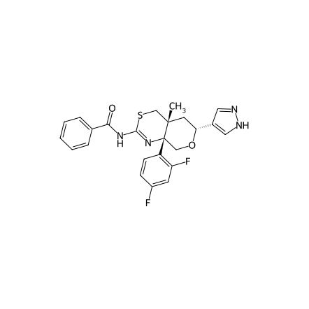 C[C@]12CSC(NC(=O)c3ccccc3)=N[C@@]1(c1ccc(F)cc1F)CO[C@@H](c1cn[nH]c1)C2